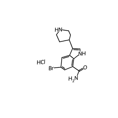 Cl.NC(=O)c1cc(Br)cc2c(C3CCNCC3)c[nH]c12